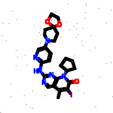 Cc1c(I)c(=O)n(C2CCCC2)c2nc(Nc3ccc(N4CCC5(CC4)OCCO5)cn3)ncc12